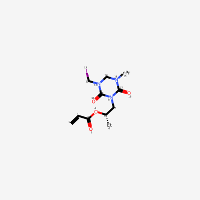 C=CC(=O)O[C@@H](CC)CN1C(=O)N(CI)CN(CCC)C1=O